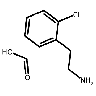 NCCc1ccccc1Cl.O=CO